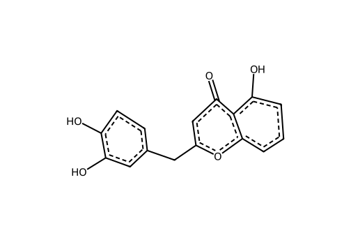 O=c1cc(Cc2ccc(O)c(O)c2)oc2cccc(O)c12